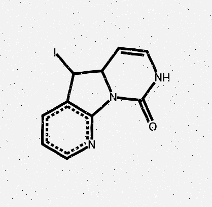 O=C1NC=CC2C(I)c3cccnc3N12